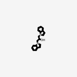 OC(Cn1ccc2ccccc21)Cn1ccc2ccccc21